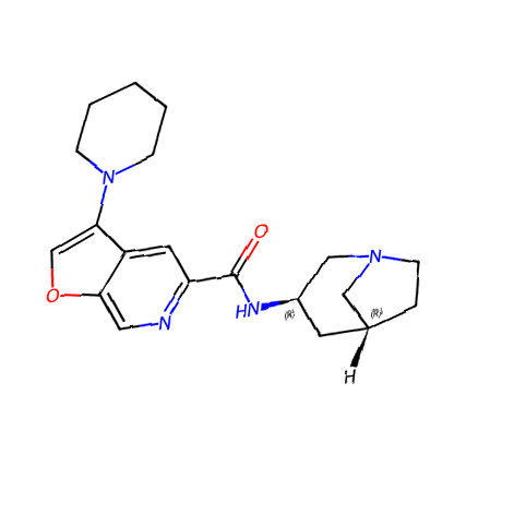 O=C(N[C@@H]1C[C@H]2CCN(C2)C1)c1cc2c(N3CCCCC3)coc2cn1